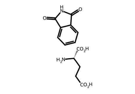 N[C@@H](CCC(=O)O)C(=O)O.O=C1NC(=O)c2ccccc21